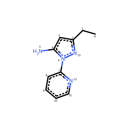 CCc1cc(N)n(-c2ccccn2)n1